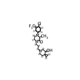 CC1C(=O)N(CCCN2CCC3(CC3)C(O)C2)CCN1c1ccc(Cl)c(C(F)(F)F)c1